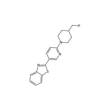 FCC1CCN(c2ccc(-c3nc4ccccc4s3)cn2)CC1